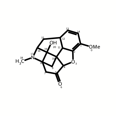 COC1=C2OC3C(=O)CC45CC36C2C(C=C1)CC(N4C)C65O